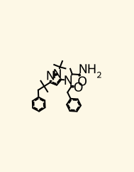 CC(C(N)=O)N(C(=O)Cc1ccccc1)c1cc(C(C)(C)Cc2ccccc2)nn1C(C)(C)C